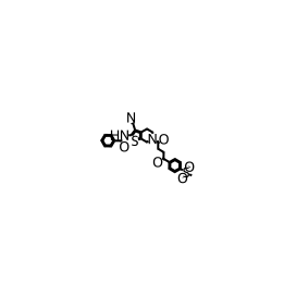 CS(=O)(=O)c1ccc(C(=O)CCC(=O)N2CCc3c(sc(NC(=O)c4ccccc4)c3C#N)C2)cc1